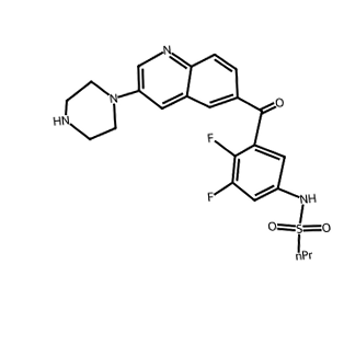 CCCS(=O)(=O)Nc1cc(F)c(F)c(C(=O)c2ccc3ncc(N4CCNCC4)cc3c2)c1